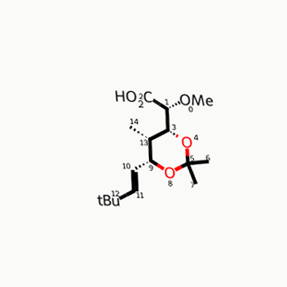 CO[C@@H](C(=O)O)[C@@H]1OC(C)(C)O[C@H](/C=C/C(C)(C)C)[C@@H]1C